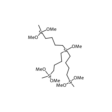 CO[Si](CCCC[Si](C)(OC)OC)(CCCC[Si](C)(OC)OC)CCCC[Si](C)(OC)OC